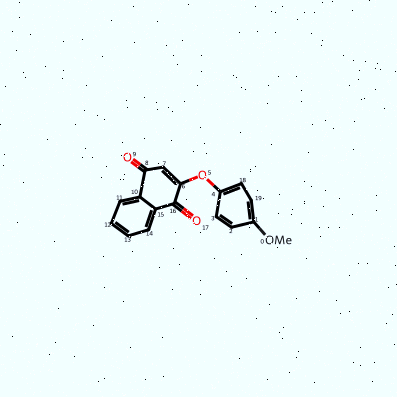 COc1ccc(OC2=CC(=O)c3ccccc3C2=O)cc1